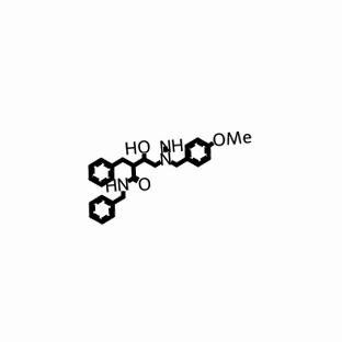 COc1ccc(CN(N)CC(O)C(Cc2ccccc2)C(=O)NCc2ccccc2)cc1